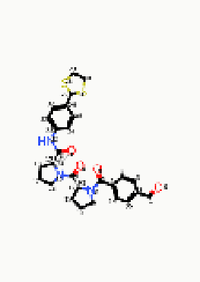 O=Cc1ccc(C(=O)N2CCC[C@@H]2C(=O)N2CCC[C@H]2C(=O)Nc2ccc(C3SCCS3)cc2)cc1